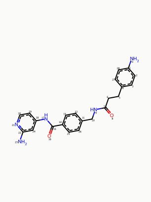 Nc1ccc(CCC(=O)NCc2ccc(C(=O)Nc3ccnc(N)c3)cc2)cc1